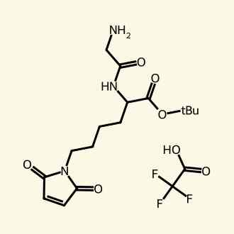 CC(C)(C)OC(=O)C(CCCCN1C(=O)C=CC1=O)NC(=O)CN.O=C(O)C(F)(F)F